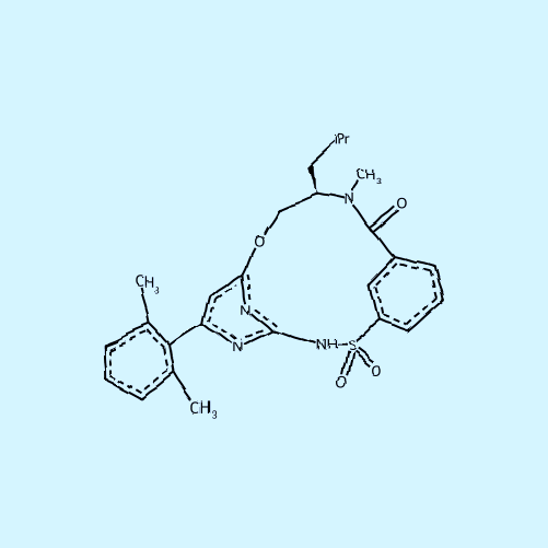 Cc1cccc(C)c1-c1cc2nc(n1)NS(=O)(=O)c1cccc(c1)C(=O)N(C)[C@H](CC(C)C)CO2